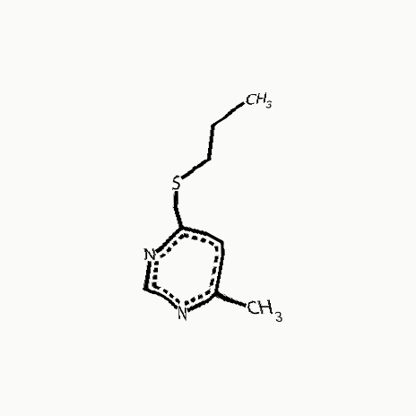 CCCSc1cc(C)ncn1